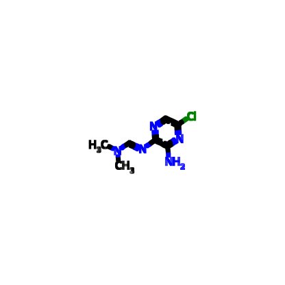 CN(C)/C=N/c1ncc(Cl)nc1N